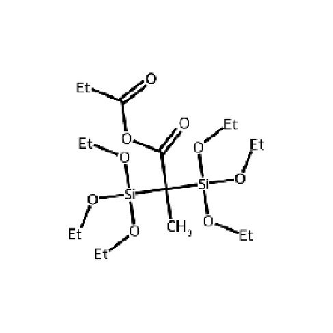 CCO[Si](OCC)(OCC)C(C)(C(=O)OC(=O)CC)[Si](OCC)(OCC)OCC